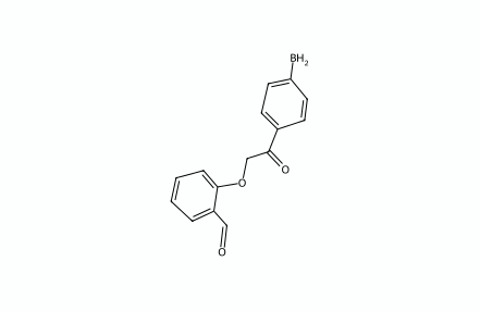 Bc1ccc(C(=O)COc2ccccc2C=O)cc1